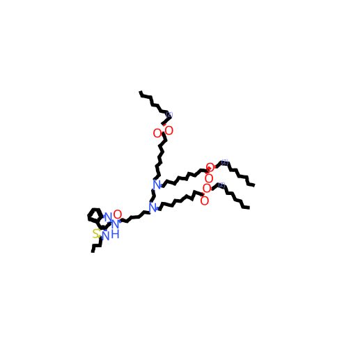 CCCCCC/C=C\COC(=O)CCCCCCCCN(CCCCCCCCC(=O)OC/C=C\CCCCCC)CCCN(CCCCCCCCC(=O)OC/C=C\CCCCCC)CCCCCC(=O)Nc1nc2ccccc2c2sc(CCC)nc12